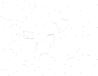 O=C([O-])c1cc(C2CCC2)n2nc(-c3ccc(Br)cc3F)cc2n1.[Li+]